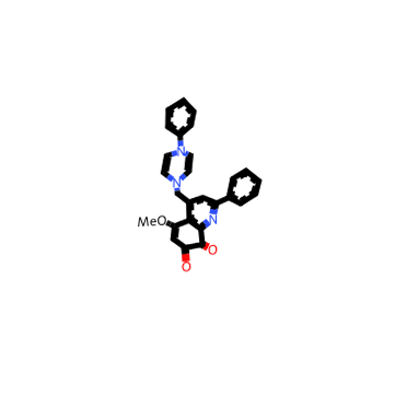 COC1=CC(=O)C(=O)c2nc(-c3ccccc3)cc(CN3C=CN(c4ccccc4)C=C3)c21